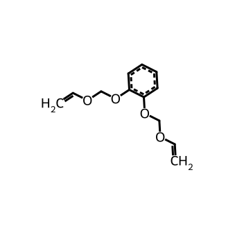 C=COCOc1ccccc1OCOC=C